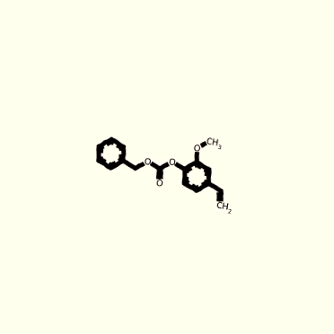 C=Cc1ccc(OC(=O)OCc2ccccc2)c(OC)c1